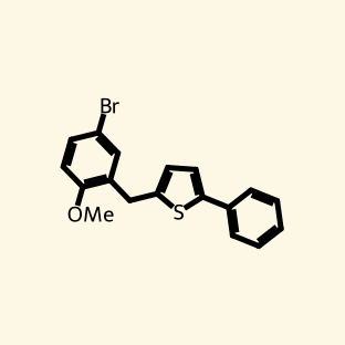 COc1ccc(Br)cc1Cc1ccc(-c2ccccc2)s1